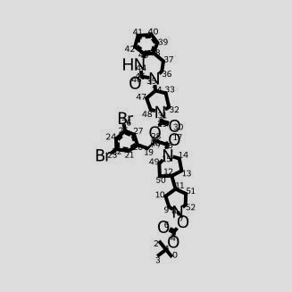 CC(C)(C)OC(=O)ON1CCC(C2CCN(C(=O)[C@@H](Cc3cc(Br)cc(Br)c3)OC(=O)N3CCC(N4CCc5ccccc5NC4=O)CC3)CC2)CC1